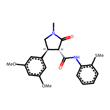 COc1cc(OC)cc([C@H]2CN(C)C(=O)[C@@H]2C(=O)Nc2ccccc2SC)c1